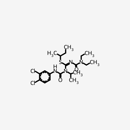 CCC(C)SC(=NC(=O)N(CC)CC)N(C(=O)Nc1ccc(Cl)c(Cl)c1)C(C)C